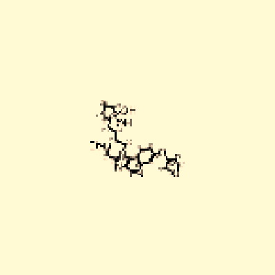 CCOCc1nc2cnc3cc(OC4CCOC4)ccc3c2n1CCCCN1CCCS1(O)O